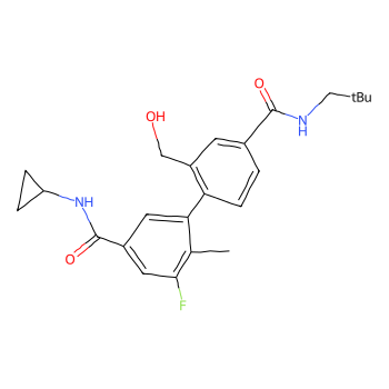 Cc1c(F)cc(C(=O)NC2CC2)cc1-c1ccc(C(=O)NCC(C)(C)C)cc1CO